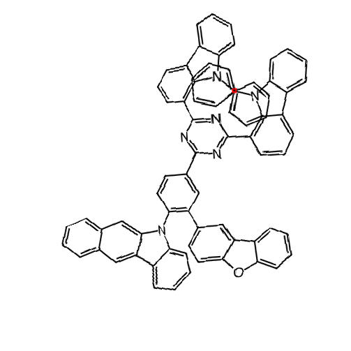 c1ccc(-n2c3ccccc3c3cccc(-c4nc(-c5ccc(-n6c7ccccc7c7cc8ccccc8cc76)c(-c6ccc7oc8ccccc8c7c6)c5)nc(-c5cccc6c7ccccc7n(-c7ccccc7)c56)n4)c32)cc1